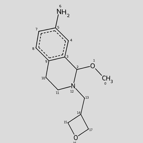 COC1c2cc(N)ccc2CCN1CC1COC1